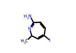 CC1C=C(I)C=CC(N)=N1